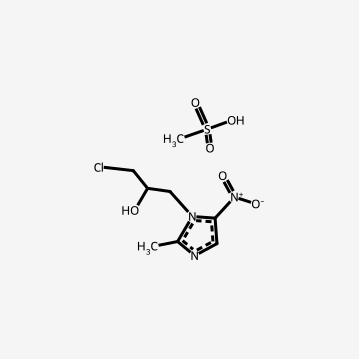 CS(=O)(=O)O.Cc1ncc([N+](=O)[O-])n1CC(O)CCl